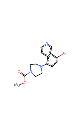 CC(C)(C)OC(=O)N1CCN(c2ccc(Br)c3cnccc23)CC1